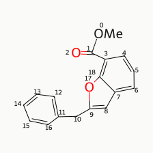 COC(=O)c1cccc2cc(Cc3ccccc3)oc12